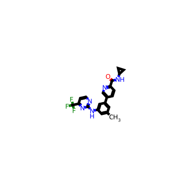 Cc1cc(Nc2nccc(C(F)(F)F)n2)cc(-c2ccc(C(=O)NC3CC3)nc2)c1